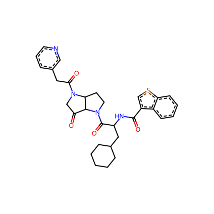 O=C(NC(CC1CCCCC1)C(=O)N1CCC2C1C(=O)CN2C(=O)Cc1cccnc1)c1csc2ccccc12